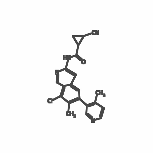 Cc1ccncc1-c1cc2cc(NC(=O)C3CC3C#N)ncc2c(Cl)c1C